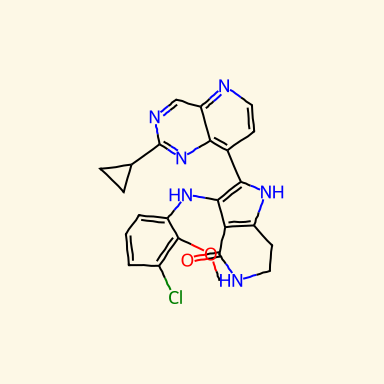 COc1c(Cl)cccc1Nc1c(-c2ccnc3cnc(C4CC4)nc23)[nH]c2c1C(=O)NCC2